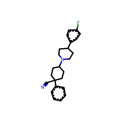 N#CC1(c2ccccc2)CCC(N2CCC(c3ccc(F)cc3)CC2)CC1